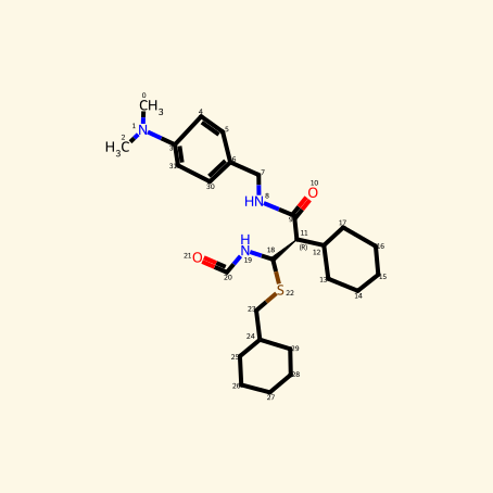 CN(C)c1ccc(CNC(=O)[C@@H](C2CCCCC2)C(NC=O)SCC2CCCCC2)cc1